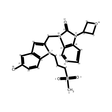 CS(=O)(=O)CCCn1c(Cn2c(=O)n(C3COC3)c3ccncc32)cc2cc(Cl)ccc21